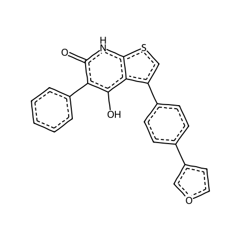 O=c1[nH]c2scc(-c3ccc(-c4ccoc4)cc3)c2c(O)c1-c1ccccc1